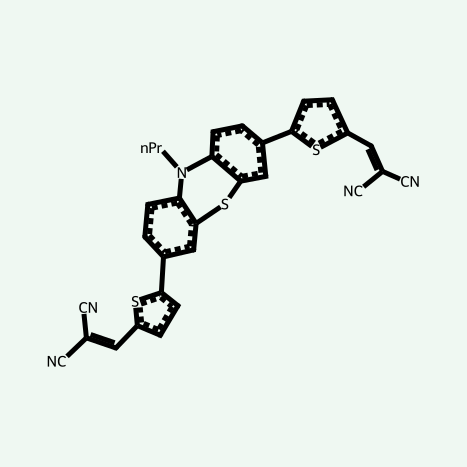 CCCN1c2ccc(-c3ccc(C=C(C#N)C#N)s3)cc2Sc2cc(-c3ccc(C=C(C#N)C#N)s3)ccc21